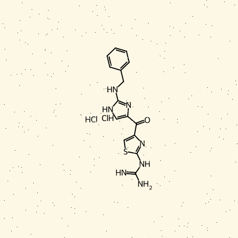 Cl.Cl.N=C(N)Nc1nc(C(=O)c2c[nH]c(NCc3ccccc3)n2)cs1